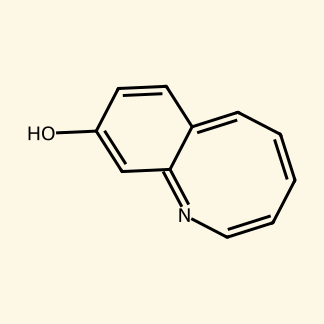 Oc1ccc2c(c1)=NC=CC=CC=2